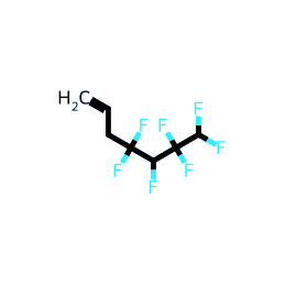 C=CCC(F)(F)C(F)C(F)(F)C(F)F